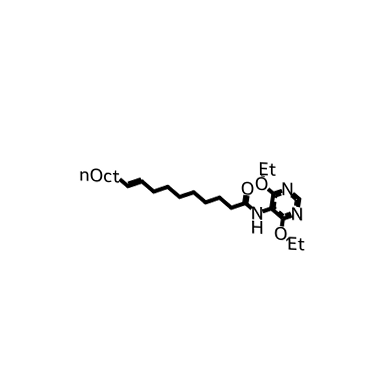 CCCCCCCCC=CCCCCCCCC(=O)Nc1c(OCC)ncnc1OCC